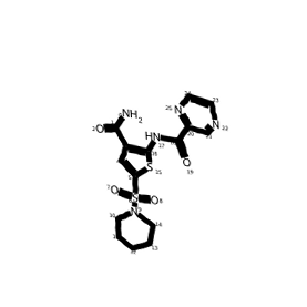 NC(=O)c1cc(S(=O)(=O)N2CCCCC2)sc1NC(=O)c1cnccn1